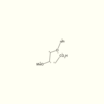 CC(=O)O.CCCOCCOC